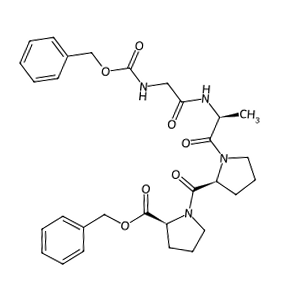 C[C@H](NC(=O)CNC(=O)OCc1ccccc1)C(=O)N1CCC[C@H]1C(=O)N1CCC[C@H]1C(=O)OCc1ccccc1